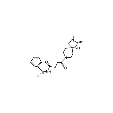 C=C1NCC2(CCN(C(=O)CCC(=O)N[C@H](C)c3ccccc3)CC2)N1